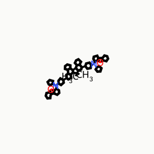 CC1(C)c2cc(-c3ccc(N(c4ccccc4)c4cccc5c4oc4ccccc45)cc3)c3ccccc3c2-c2c1c1ccc(-c3ccc(N(c4ccccc4)c4cccc5c4oc4ccccc45)cc3)cc1c1ccccc21